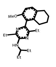 CCc1nc(-c2c(OC)ccc3c2CCCC3)c(CC)nc1NC(CC)CC